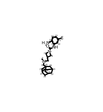 CN(CC1CN(C(=O)Nc2cc(F)ccc2N)C1)CC12CC3CC(CC(C3)C1)C2